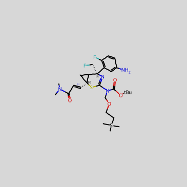 CN(C)C(=O)/C=C/[C@]12CC1[C@@](CF)(c1cc(N)ccc1F)N=C(N(COCC[Si](C)(C)C)C(=O)OC(C)(C)C)S2